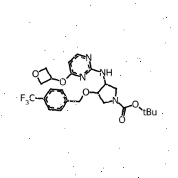 CC(C)(C)OC(=O)N1CC(Nc2nccc(OC3COC3)n2)C(OCc2ccc(C(F)(F)F)cc2)C1